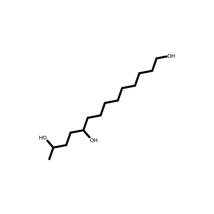 CC(O)CCC(O)CCCCCCCCCO